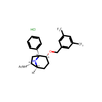 CC(=O)N[C@@H]1C[C@]2(c3ccccc3)N[C@H]1CC[C@H]2OCc1cc(C(F)(F)F)cc(C(F)(F)F)c1.Cl